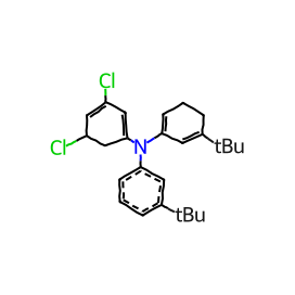 CC(C)(C)C1=CC(N(C2=CC(Cl)=CC(Cl)C2)c2cccc(C(C)(C)C)c2)=CCC1